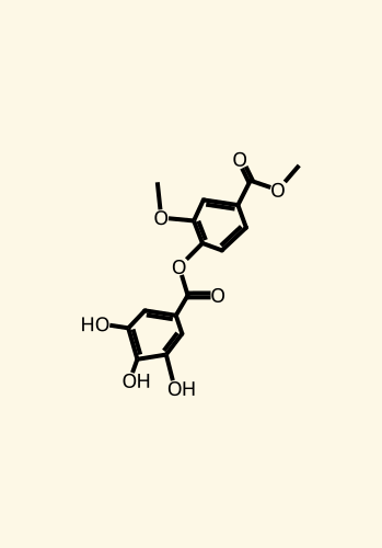 COC(=O)c1ccc(OC(=O)c2cc(O)c(O)c(O)c2)c(OC)c1